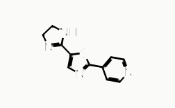 c1cc(-c2ncc(C3=NCCN3)s2)ccn1